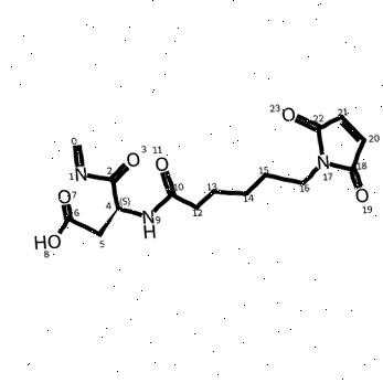 C=NC(=O)[C@H](CC(=O)O)NC(=O)CCCCCN1C(=O)C=CC1=O